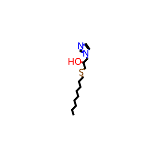 CCCCCCCCCSCC(O)Cn1ccnc1